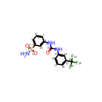 NS(=O)(=O)c1cccc(NC(=O)Nc2cccc(C(F)(F)F)c2)c1